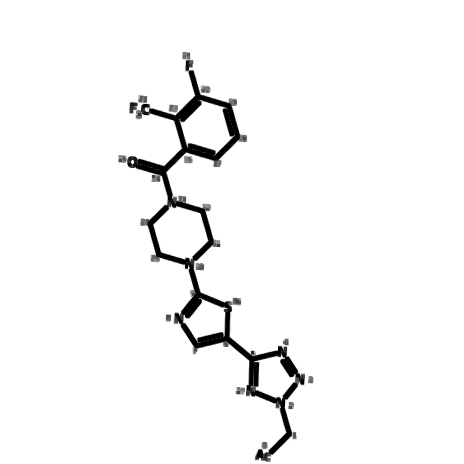 CC(=O)Cn1nnc(-c2cnc(N3CCN(C(=O)c4cccc(F)c4C(F)(F)F)CC3)s2)n1